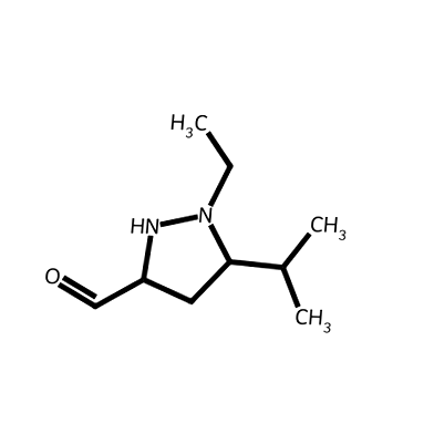 CCN1NC(C=O)CC1C(C)C